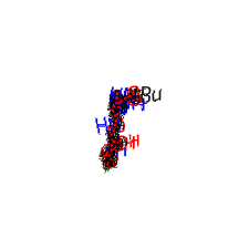 CCCSc1nc(NCCNC(=O)OC(C)(C)C)c2nnn(Cc3ccc(C#CC(=O)NCCOCC(C)(C)c4cc5cc(NC(=O)C6(c7ccc8c(c7)OC(F)(F)O8)CC6)c(F)cc5n4C[C@@H](O)CO)cc3)c2n1